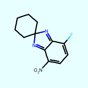 O=[N+]([O-])c1ccc(F)c2c1=NC1(CCCCC1)N=2